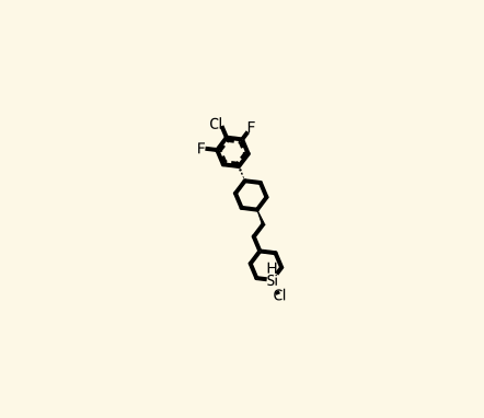 Fc1cc([C@H]2CC[C@H](CCC3CC[SiH](Cl)CC3)CC2)cc(F)c1Cl